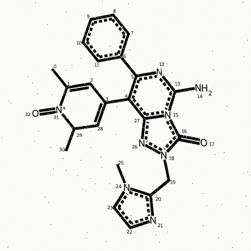 CC1=CC(c2c(-c3ccccc3)nc(N)n3c(=O)n(Cc4nccn4C)nc23)=CC(C)[N+]1=O